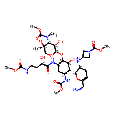 CN(C(=O)OC(C)(C)C)[C@@H]1[C@@H](O)[C@@H](O[C@H]2[C@H](NC(=O)[C@@H](O)CCNC(=O)OC(C)(C)C)C[C@H](NC(=O)OC(C)(C)C)C([C@H]3OC(CN)=CC[C@H]3NC3CN(C(=O)OC(C)(C)C)C3)[C@@H]2O)OC[C@]1(C)O